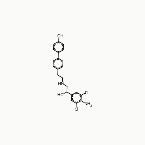 Nc1c(Cl)cc(C(O)CNCCc2ccc(-c3ccc(O)cc3)cc2)cc1Cl